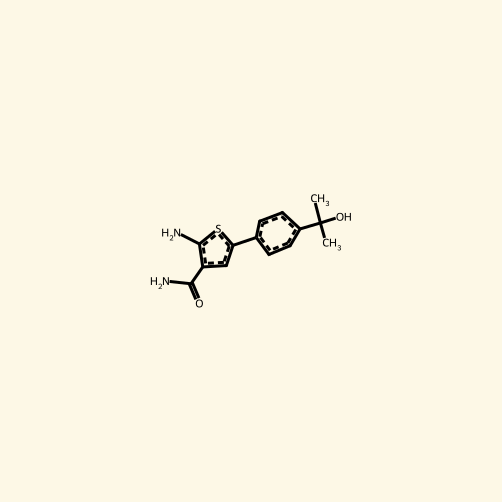 CC(C)(O)c1ccc(-c2cc(C(N)=O)c(N)s2)cc1